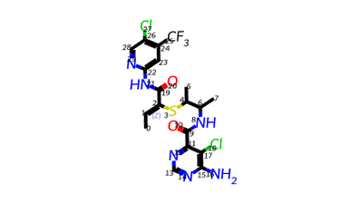 C/C=C(\SC(C)C(C)NC(=O)c1ncnc(N)c1Cl)C(=O)Nc1cc(C(F)(F)F)c(Cl)cn1